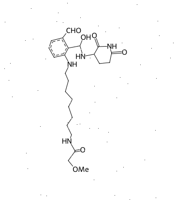 COCC(=O)NCCCCCCCCNc1cccc(C=O)c1C(O)NC1CCC(=O)NC1=O